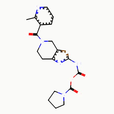 Cc1ncccc1C(=O)N1CCc2nc(NC(=O)OC(=O)N3CCCC3)sc2C1